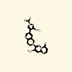 Cc1cc2nccc(=O)n2nc1N1CCc2ncc(-c3cn(C(F)F)nc3C)cc2C1